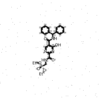 CCOP(=O)(CNC(=O)c1ncc(C(=O)NC(c2ccccc2)c2ccccc2)c(O)n1)OCC